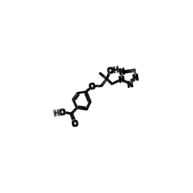 CC(O)(COc1ccc(C(=O)O)cc1)Cn1ncnn1